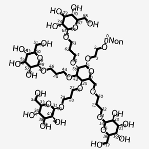 CCCCCCCCCOCCO[C@@H]1OC(COCCCOC2OC(CO)[C@@H](O)[C@H](O)[C@@H]2O)[C@@H](OCCCO[C@@H]2OC(CO)[C@@H](O)C(O)[C@@H]2O)C(OCCCO[C@@H]2OC(CO)[C@@H](O)C(O)[C@@H]2O)[C@@H]1OCCCO[C@@H]1OC(CO)[C@@H](O)C(O)[C@@H]1O